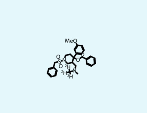 [2H]C([2H])([2H])N(C)CC1CN(S(=O)(=O)Cc2ccccc2)CCC1(OC(=O)c1ccccc1)c1cccc(OC)c1